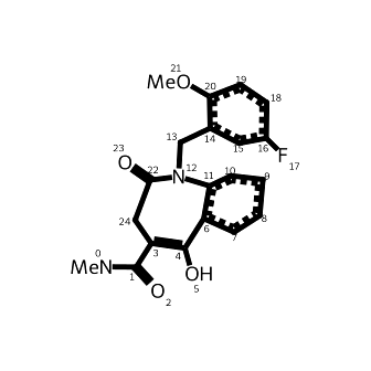 CNC(=O)C1=C(O)c2ccccc2N(Cc2cc(F)ccc2OC)C(=O)C1